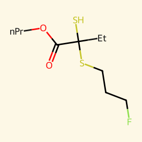 CCCOC(=O)C(S)(CC)SCCCF